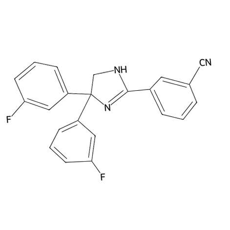 N#Cc1cccc(C2=NC(c3cccc(F)c3)(c3cccc(F)c3)CN2)c1